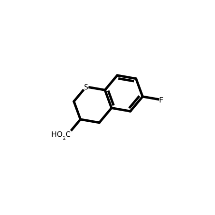 O=C(O)C1CSc2ccc(F)cc2C1